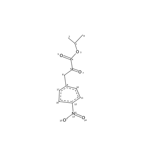 CC(C)OC(=O)C(=O)Cc1ccc([N+](=O)[O-])cc1